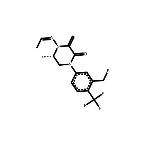 C=C1C(=O)N(c2ccc(C(F)(F)F)c(CF)c2)C[C@H](C)N1/N=C\C